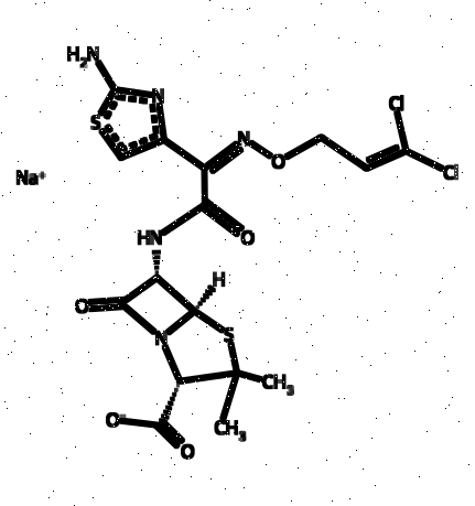 CC1(C)S[C@@H]2[C@@H](NC(=O)/C(=N\OCC=C(Cl)Cl)c3csc(N)n3)C(=O)N2[C@H]1C(=O)[O-].[Na+]